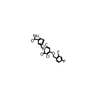 Cc1cc(OCc2ccc(F)cc2F)c(Cl)c(=O)n1Cc1cccc(C(N)=O)c1